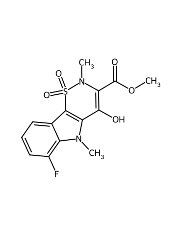 COC(=O)C1=C(O)c2c(c3cccc(F)c3n2C)S(=O)(=O)N1C